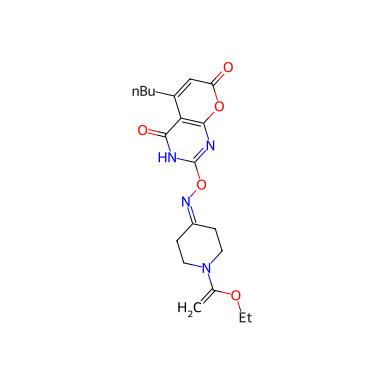 C=C(OCC)N1CCC(=NOc2nc3oc(=O)cc(CCCC)c3c(=O)[nH]2)CC1